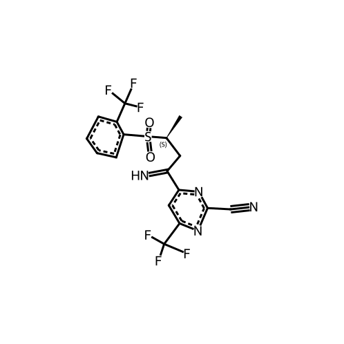 C[C@@H](CC(=N)c1cc(C(F)(F)F)nc(C#N)n1)S(=O)(=O)c1ccccc1C(F)(F)F